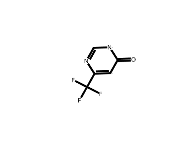 O=C1[C]=C(C(F)(F)F)N=C[N]1